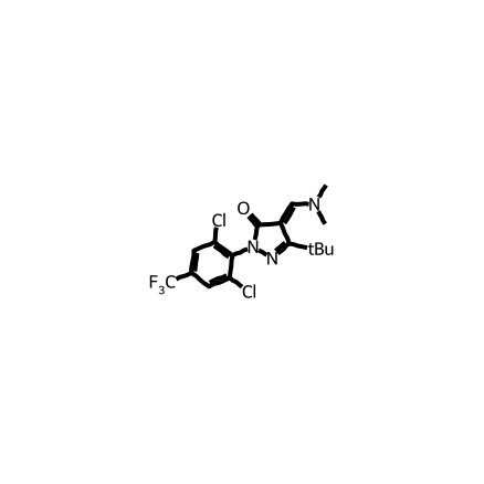 CN(C)C=C1C(=O)N(c2c(Cl)cc(C(F)(F)F)cc2Cl)N=C1C(C)(C)C